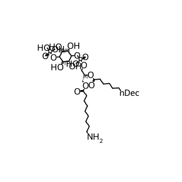 CCCCCCCCCCCCCCCC(=O)O[C@H](COC(=O)CCCCCCCCN)COP(=O)(O)OC1C(O)[C@@H](O)C(OP(=O)(O)O)[C@@H](O)[C@H]1O